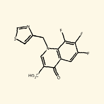 O=C(O)c1cn(Cc2cscn2)c2c(F)c(F)c(F)cc2c1=O